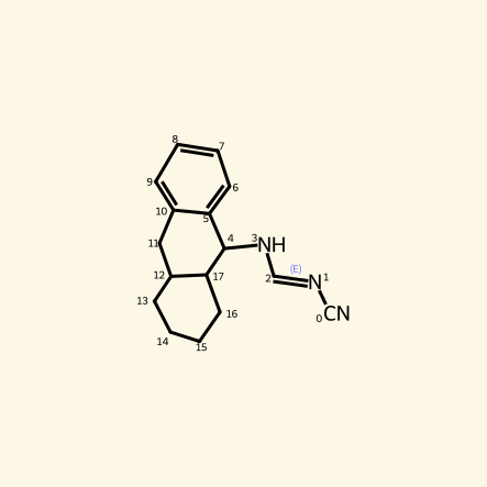 N#C/N=C/NC1c2ccccc2CC2CCCCC21